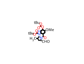 C=C1C[C@@H](C=O)N(C(=O)c2cc(OC)c(OC(=O)OC(C)(C)C)cc2NC(=O)OC(C)(C)C)C1